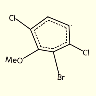 COc1c(Cl)c[c]c(Cl)c1Br